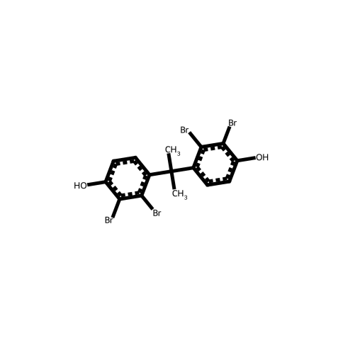 CC(C)(c1ccc(O)c(Br)c1Br)c1ccc(O)c(Br)c1Br